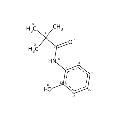 CC(C)(C)C(=O)Nc1ccccc1O